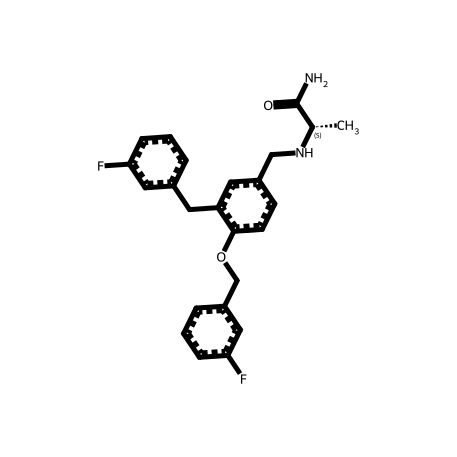 C[C@H](NCc1ccc(OCc2cccc(F)c2)c(Cc2cccc(F)c2)c1)C(N)=O